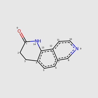 O=C1CCc2ccc3cnccc3c2N1